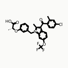 Cc1cc(Cl)ccc1C(=O)c1c(C)n(Cc2cccc(O[C@H](C)C(=O)O)c2)c2cc(OC(F)(F)F)ccc12